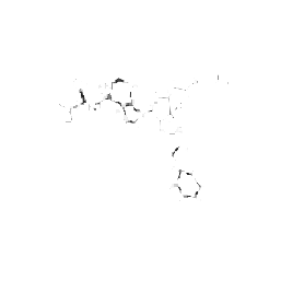 CCNC(=O)Nc1ncnc2c1ncn2C1OC(CCC(=O)O)[C@H]2O[C@@H](C=Cc3ccccc3)OC12